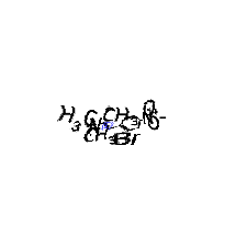 C/C(=C\c1ccc([N+](=O)[O-])cc1Br)N(C)C